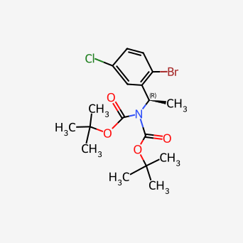 C[C@H](c1cc(Cl)ccc1Br)N(C(=O)OC(C)(C)C)C(=O)OC(C)(C)C